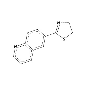 c1cnc2ccc(C3=NCCS3)cc2c1